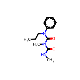 CCCN(C(=O)N(C)C(=O)NC)c1ccccc1